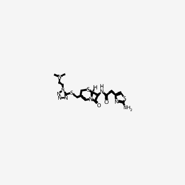 CN(C)CCn1nnnc1SCC1=CN2C(=O)C(NC(=O)Cc3csc(N)n3)[C@@H]2SC1